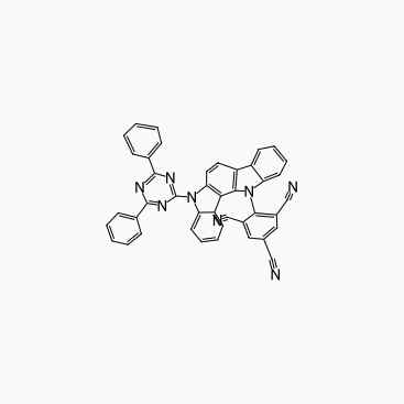 N#Cc1cc(C#N)c(-n2c3ccccc3c3ccc4c(c5ccccc5n4-c4nc(-c5ccccc5)nc(-c5ccccc5)n4)c32)c(C#N)c1